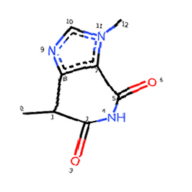 CC1C(=O)NC(=O)c2c1ncn2C